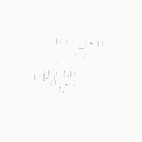 COc1ccc(CCC(N[C@@H](C)C(=O)N2CCSCC2OC(=O)O)C(=O)O)cc1OC